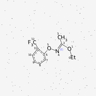 CCO/C(C)=N/Oc1ccccc1C(F)(F)F